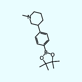 CN1CCCC(c2ccc(B3OC(C)(C)C(C)(C)O3)cc2)C1